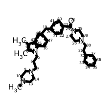 Cc1c(C)n(CCCN2CCN(C)CC2)c2ccc(Cc3ccc(C(=O)N4CCN(CCc5ccccc5)CC4)cc3)cc12